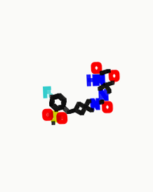 CS(=O)(=O)c1cc(F)ccc1CC1CC2(C1)CN(C(=O)N1CC3(COCC(=O)N3)C1)C2